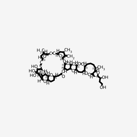 C=C1C[C@@H]2CC[C@]34OC([C@@H]5O[C@H]6CC[C@H](CC(=O)O[C@@H]7CC8O[C@@H]9CC[C@@H]%10OO[C@H]%11C[C@@H]([C@@H](O)CCO)O[C@H]%11[C@@H](C)CCC[C@@H]%10OO[C@@H]9O[C@@H]8O[C@H]7C[C@H]7O[C@@H](CC[C@@H]1O2)C[C@@H](C)C7=C)O[C@@H]6[C@H](O3)[C@@H]5I)C(O)(O)[C@H]4O